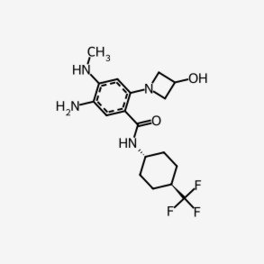 CNc1cc(N2CC(O)C2)c(C(=O)N[C@H]2CC[C@H](C(F)(F)F)CC2)cc1N